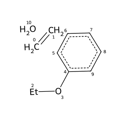 C=C.CCOc1ccccc1.O